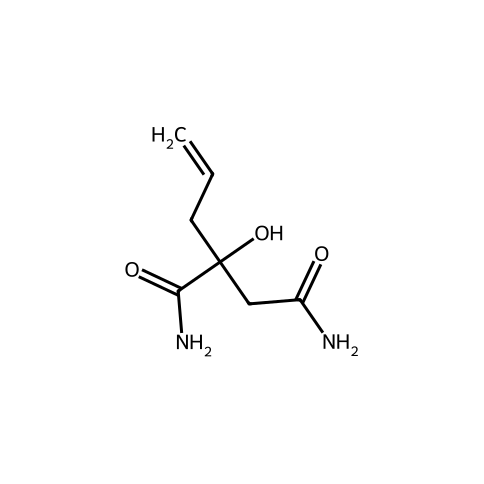 C=CCC(O)(CC(N)=O)C(N)=O